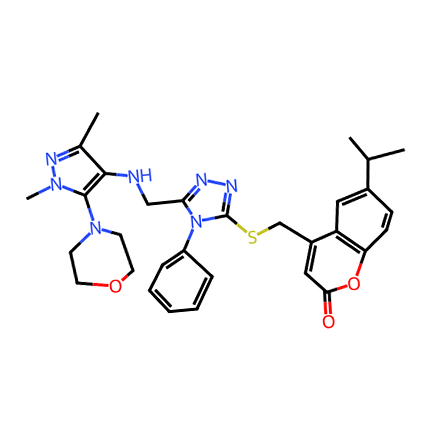 Cc1nn(C)c(N2CCOCC2)c1NCc1nnc(SCc2cc(=O)oc3ccc(C(C)C)cc23)n1-c1ccccc1